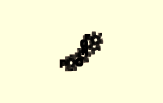 O=C(C1CCc2cccc(F)c21)N1CCC(Oc2ccc(F)cc2)CC1